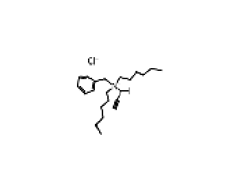 C#CC(I)[N+](CCCCCC)(CCCCCC)Cc1ccccc1.[Cl-]